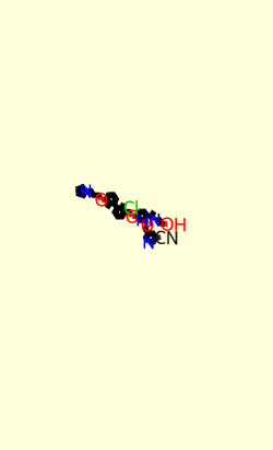 Cc1c(COc2cc(OCc3cncc(C#N)c3)c(C(C)NCCO)cc2Cl)cccc1-c1cccc(OCCCN2CCCC2)c1C